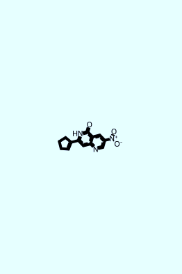 O=c1[nH]c(C2=CCCC2)cc2ncc([N+](=O)[O-])cc12